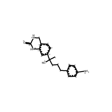 CC(C#N)(CCCc1ccc(N)cc1)c1ccc2c(c1)NC(=O)NC2